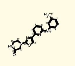 Cc1cccc(Nc2cccc(-c3coc(N4CCNC(=O)C4)n3)n2)c1